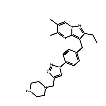 CCc1nn2cc(C)c(C)nc2c1Cc1ccc(-n2cc(CN3CCNCC3)nn2)cc1